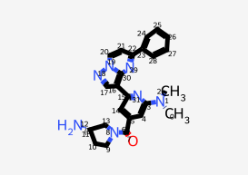 CN(C)c1cc(C(=O)N2CC[C@H](N)C2)cc(-c2cnn3ccc(-c4ccccc4)nc23)n1